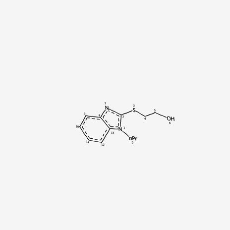 CCCn1c(SCCO)nc2ccccc21